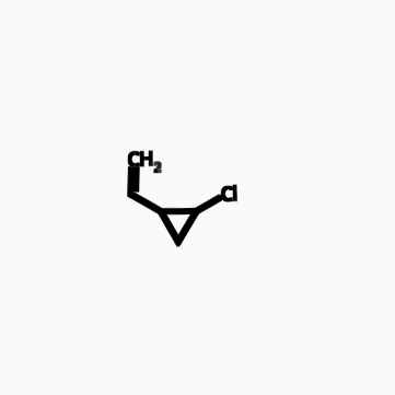 C=CC1CC1Cl